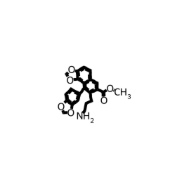 COC(=O)c1cc2ccc3c(c2c(-c2ccc4c(c2)OCO4)c1CCCN)OCO3